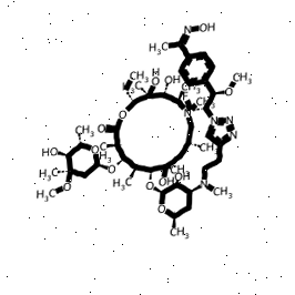 CC[C@H]1OC(=O)[C@H](C)[C@@H](O[C@H]2C[C@@](C)(OC)[C@@H](O)[C@H](C)O2)[C@H](C)[C@@H](O[C@@H]2O[C@H](C)C[C@H](N(C)CCc3cn([C@H](CF)[C@H](OC)c4ccc(/C(C)=N\O)cc4)nn3)[C@H]2O)[C@](C)(O)C[C@@H](C)CN(C)[C@H](C)[C@@H](O)[C@]1(C)O